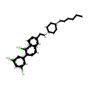 CCCCCC[C@H]1CC[C@H](CCc2ccc3c(F)c(-c4cc(F)cc(F)c4)ccc3c2)CC1